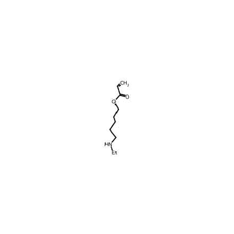 C=CC(=O)OCCCCCNCC